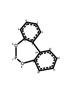 c1ccc2c(c1)O[P]Oc1ccccc1-2